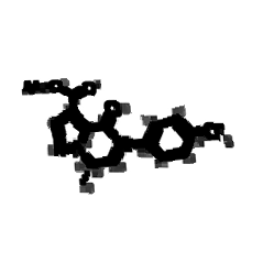 COC(=O)c1cnn2c1C(=O)N(c1ccc(C(F)(F)F)cc1)C[C@@H]2C